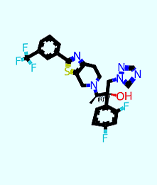 C[C@@H](N1CCc2nc(-c3cccc(C(F)(F)F)c3)sc2C1)[C@](O)(Cn1cncn1)c1ccc(F)cc1F